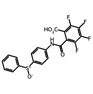 O=C(O)c1c(F)c(F)c(F)c(F)c1C(=O)Nc1ccc([S+]([O-])c2ccccc2)cc1